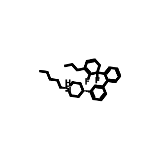 CCCCC[Si@H]1CC[C@H](c2cccc(-c3ccccc3C3(F)CC=CC(CCC)=C3F)c2)CC1